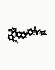 Cc1cccc(-c2[nH]cnc2-c2ccc3ncc(C4=CC[C@H](NC(=O)CC5CNC5)CC4)cc3c2)n1